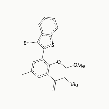 C=C(CC(C)CC)c1cc(C)cc(-c2sc3ccccc3c2Br)c1OCOC